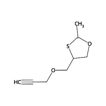 C#CCOCC1CO[C](C)S1